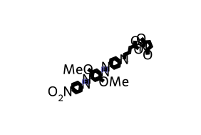 COc1cc(/N=N/c2ccc([N+](=O)[O-])cc2)c(OC)cc1/N=N/c1ccc(N(C)CCCC(=O)ON2C(=O)CCC2=O)cc1